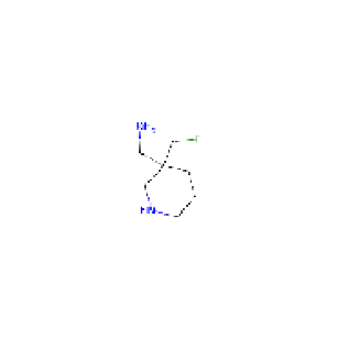 NCC1(CF)CCCNC1